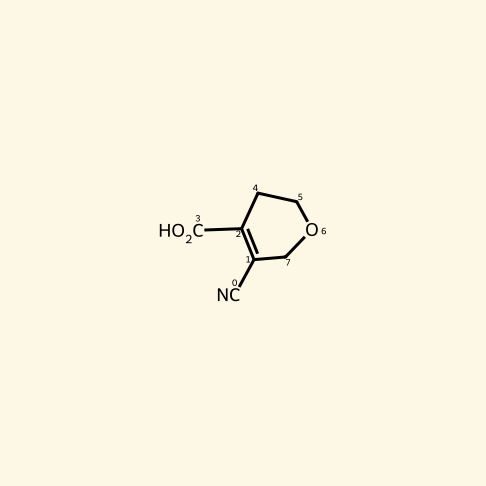 N#CC1=C(C(=O)O)CCOC1